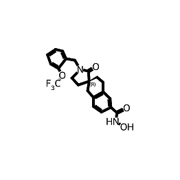 O=C(NO)c1ccc2c(c1)CC[C@]1(CCN(Cc3ccccc3OC(F)(F)F)C1=O)C2